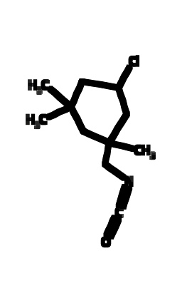 CC1(C)CC(Cl)CC(C)(CN=C=O)C1